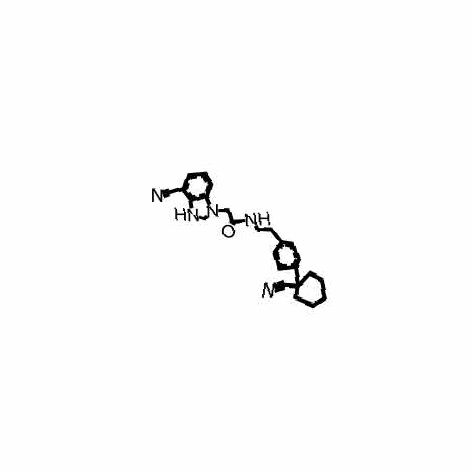 N#Cc1cccc2c1NCN2CC(=O)NCCc1ccc(C2(C#N)CCCCC2)cc1